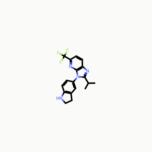 CC(C)c1nc2ccc(C(F)(F)F)nc2n1-c1ccc2c(c1)CCN2